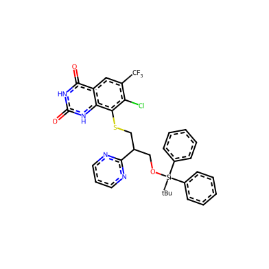 CC(C)(C)[Si](OCC(CSc1c(Cl)c(C(F)(F)F)cc2c(=O)[nH]c(=O)[nH]c12)c1ncccn1)(c1ccccc1)c1ccccc1